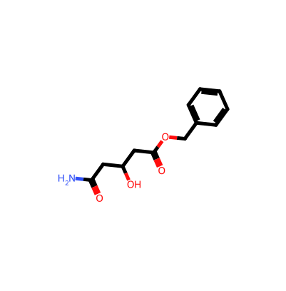 NC(=O)CC(O)CC(=O)OCc1ccccc1